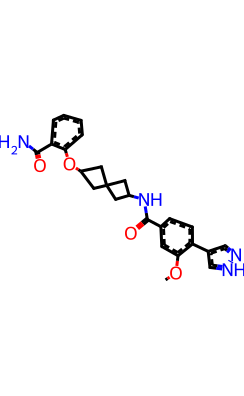 COc1cc(C(=O)NC2CC3(C2)CC(Oc2ccccc2C(N)=O)C3)ccc1-c1cn[nH]c1